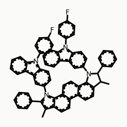 Cc1c(-c2ccccc2)n(-c2ccc3c(c2)c2ccccc2n3-c2ccc(F)cc2)c2c1ccc1c3ccc4c(c3ccc12)N(c1ccc2c(c1)c1ccccc1n2-c1ccc(F)cc1)C(c1ccccc1)C4C